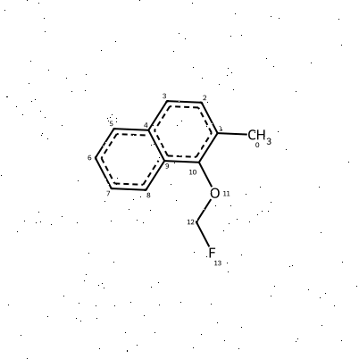 Cc1ccc2ccccc2c1OCF